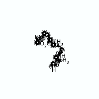 Cc1c(OCC[C@H]2CCN(CC(=O)Nc3cccc4c(C5CCC(=O)NC5=O)nn(C)c34)C2)cccc1-c1ccc(N2CCc3cccc(C(=O)Nc4nc5ccccc5s4)c3C2)nc1C(=O)O